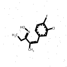 CCC(=NO)C(C)=Cc1ccc(F)c(Cl)c1